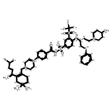 C=C(CCC(F)F)C1=C(CN2CCN(c3ccc(C(=O)NS(=O)(=O)c4ccc(N[C@H](CCN5CCC(O)CC5)CSc5ccccc5)c(S(=O)(=O)C(F)(F)F)c4)cc3)CC2)CCC(C)(C)C1